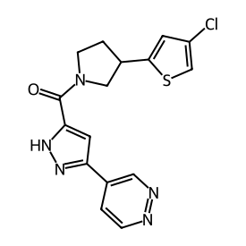 O=C(c1cc(-c2ccnnc2)n[nH]1)N1CCC(c2cc(Cl)cs2)C1